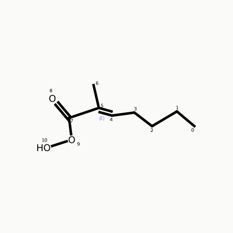 CCCC/C=C(\C)C(=O)OO